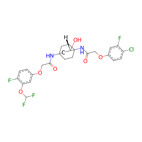 O=C(COc1ccc(F)c(OC(F)F)c1)NC12CCC(NC(=O)COc3ccc(Cl)c(F)c3)(CC1)[C@@H](O)C2